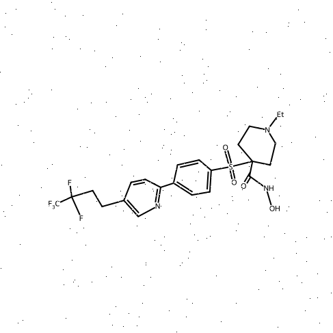 CCN1CCC(C(=O)NO)(S(=O)(=O)c2ccc(-c3ccc(CCC(F)(F)C(F)(F)F)cn3)cc2)CC1